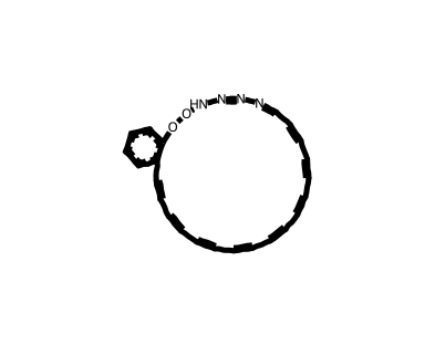 C1=C\C=C/C=C\C=C/C=N\N=N/NOOc2ccccc2/C=C\C=C/C=C\C=C/1